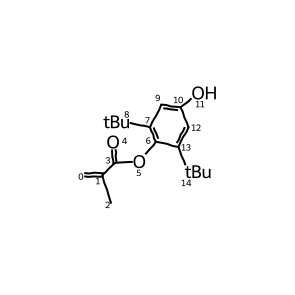 C=C(C)C(=O)Oc1c(C(C)(C)C)cc(O)cc1C(C)(C)C